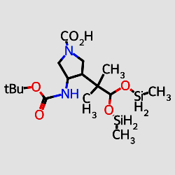 C[SiH2]OC(O[SiH2]C)C(C)(C)C1CN(C(=O)O)CC1NC(=O)OC(C)(C)C